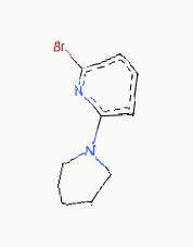 Brc1cccc(N2C[CH]CC2)n1